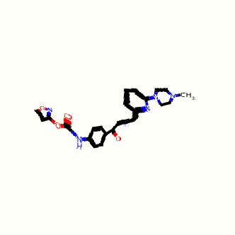 CN1CCN(c2cccc(/C=C/C(=O)c3ccc(NC(=O)Oc4ccon4)cc3)n2)CC1